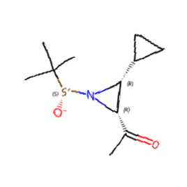 CC(=O)[C@H]1[C@@H](C2CC2)N1[S@+]([O-])C(C)(C)C